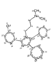 CN(C)CCCn1c(-c2cc(O)ccn2)nc(-c2ccccc2)c1-c1ccccc1